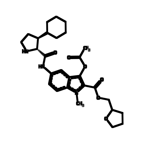 Cn1c(C(=O)OCC2CCCO2)c(OC(=O)C(F)(F)F)c2cc(NC(=O)[C@@H]3NCC[C@H]3C3CCCCC3)ccc21